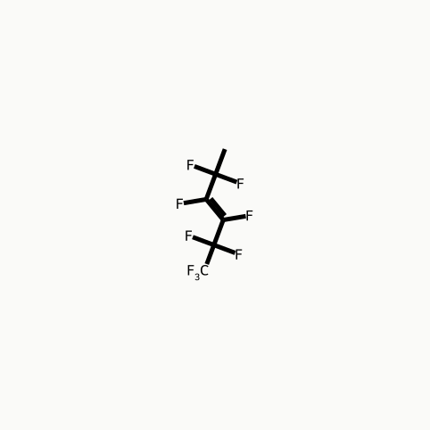 CC(F)(F)C(F)=C(F)C(F)(F)C(F)(F)F